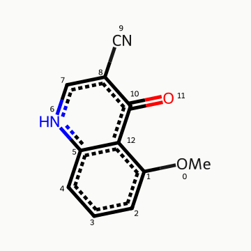 COc1cccc2[nH]cc(C#N)c(=O)c12